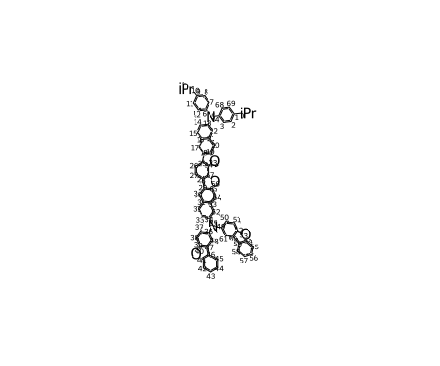 CC(C)c1ccc(N(c2ccc(C(C)C)cc2)c2ccc3cc4c(cc3c2)oc2c4ccc3c4cc5ccc(N(c6ccc7oc8ccccc8c7c6)c6ccc7oc8ccccc8c7c6)cc5cc4oc32)cc1